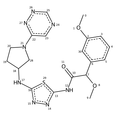 COc1cccc(C(OC)C(=O)Nc2nnc(NC3CCN(c4cncnn4)C3)s2)c1